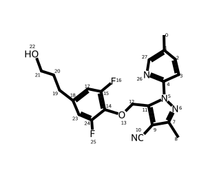 Cc1ccc(-n2nc(C)c(C#N)c2COc2c(F)cc(CCCO)cc2F)nc1